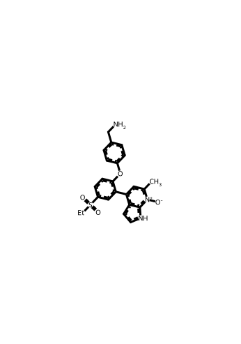 CCS(=O)(=O)c1ccc(Oc2ccc(CN)cc2)c(-c2cc(C)[n+]([O-])c3[nH]ccc23)c1